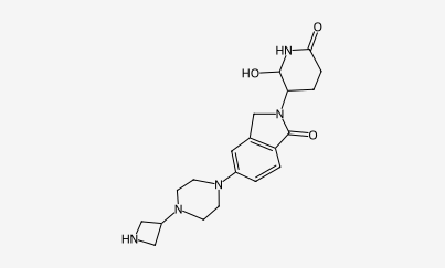 O=C1CCC(N2Cc3cc(N4CCN(C5CNC5)CC4)ccc3C2=O)C(O)N1